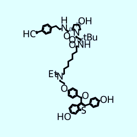 C#Cc1ccc(CCNC(=O)[C@@H]2C[C@H](O)CN2C(=O)[C@@H](NC(=O)CCCCCCCN(CC)CCOc2ccc(C(=O)c3c(-c4ccc(O)cc4)sc4cc(O)ccc34)cc2)C(C)(C)C)cc1